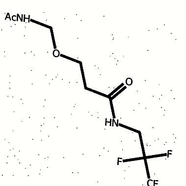 CC(=O)NCOCCC(=O)NCC(F)(F)C(F)(F)F